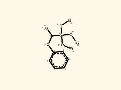 CCCCC(Oc1ccccc1)[Si](OCC)(OCC)OCC